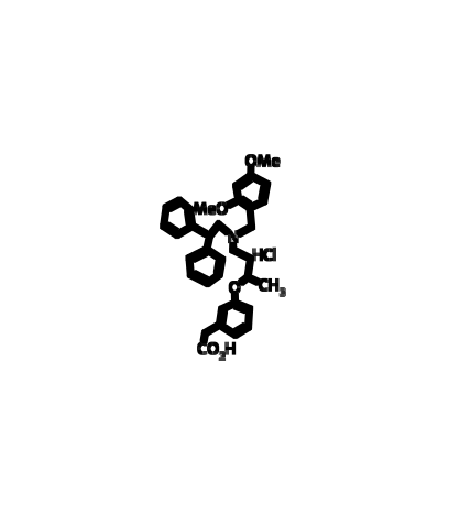 COc1ccc(CN(CCC(C)Oc2cccc(CC(=O)O)c2)CC(c2ccccc2)c2ccccc2)c(OC)c1.Cl